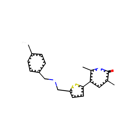 CCc1cc(-c2ccc(CNCc3ccc(OC)cc3)s2)c(C)[nH]c1=O